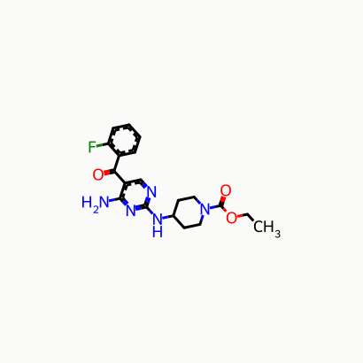 CCOC(=O)N1CCC(Nc2ncc(C(=O)c3ccccc3F)c(N)n2)CC1